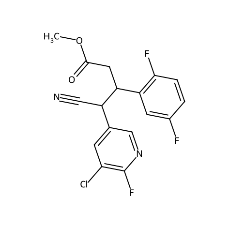 COC(=O)CC(c1cc(F)ccc1F)C(C#N)c1cnc(F)c(Cl)c1